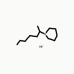 CCCCCC(C)N1CCCCC1.F